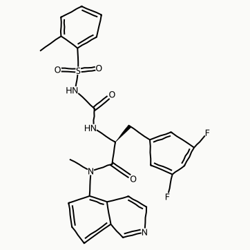 Cc1ccccc1S(=O)(=O)NC(=O)N[C@@H](Cc1cc(F)cc(F)c1)C(=O)N(C)c1cccc2cnccc12